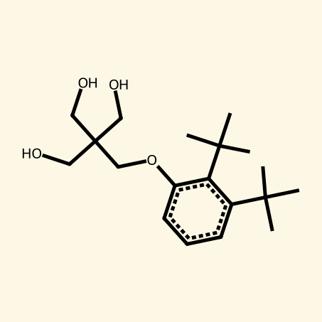 CC(C)(C)c1cccc(OCC(CO)(CO)CO)c1C(C)(C)C